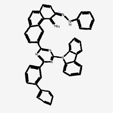 N=C1/C(=N\Nc2ccccc2)C=Cc2ccc3ccc(-c4nc(-c5cccc(-c6ccccc6)c5)nc(-n5c6ccccc6c6ccccc65)n4)cc3c21